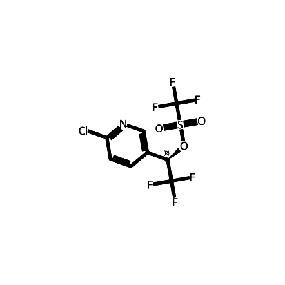 O=S(=O)(O[C@H](c1ccc(Cl)nc1)C(F)(F)F)C(F)(F)F